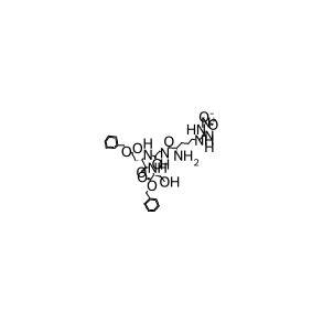 N=C(NCCC[C@H](N)C(=O)NCC(=O)N[C@@H](CC(=O)OCc1ccccc1)C(=O)N[C@@H](CO)C(=O)OCc1ccccc1)N[N+](=O)[O-]